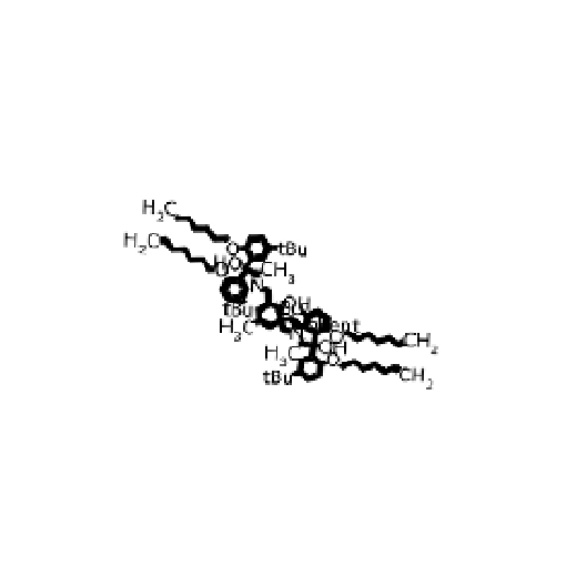 C=CCCCCCOc1ccc(C(C)(C)C)cc1C(O)(c1cc(C(C)(C)C)ccc1OCCCCCC=C)[C@@H](C)N=CC1=CC(C)=CC(C=CCCCCC)(C=N[C@H](C)C(O)(c2cc(C(C)(C)C)ccc2OCCCCCC=C)c2cc(C(C)(C)C)ccc2OCCCCCC=C)C1O